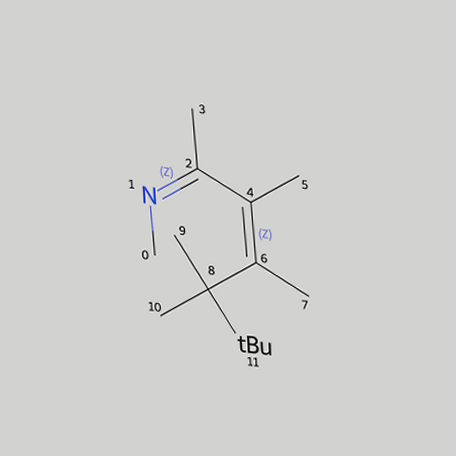 C/N=C(C)\C(C)=C(\C)C(C)(C)C(C)(C)C